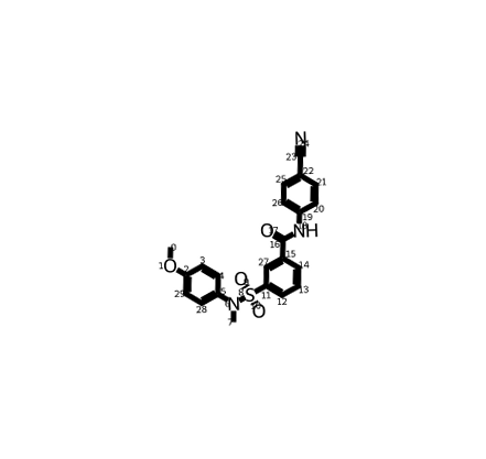 COc1ccc(N(C)S(=O)(=O)c2cccc(C(=O)Nc3ccc(C#N)cc3)c2)cc1